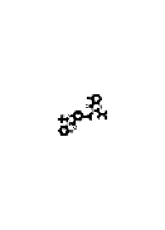 Cc1cccc2nc(C(C)C(C)C)n(C3CC3c3ccc4nc(C(C)(C)C)n(-c5ccccc5F)c(=O)c4c3)c(=O)c12